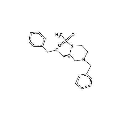 CS(=O)(=O)N1CCN(Cc2ccccc2)C[C@H]1COCc1ccccc1